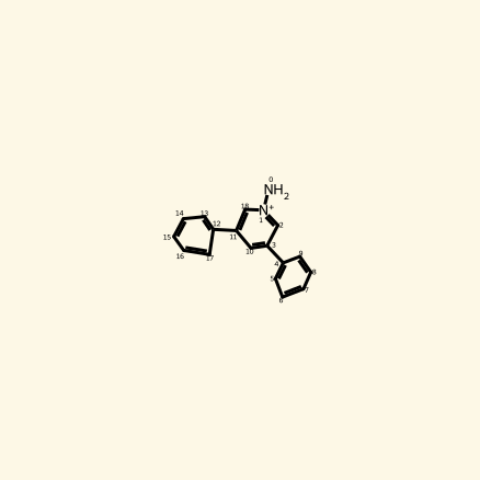 N[n+]1cc(-c2ccccc2)cc(-c2ccccc2)c1